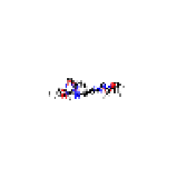 COC(=O)N[C@H](C(=O)N1CCCC1c1ncc(-c2ccc(-c3ccc(-c4cnc(C5CC6(CN(C(=O)OC(C)(C)C)C6)CN5C(=O)[C@@H](NC(=O)OC)C(C)C)[nH]4)cc3)cc2)[nH]1)C(C)C